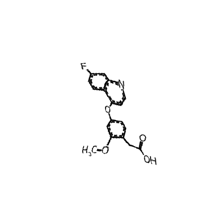 COc1cc(Oc2ccnc3cc(F)ccc23)ccc1CC(=O)O